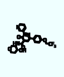 O=C(N[C@H]1COCC[C@H]1O)c1cc(-c2ccc(OCC(F)(F)F)cc2)nn(-c2cccnc2)c1=O